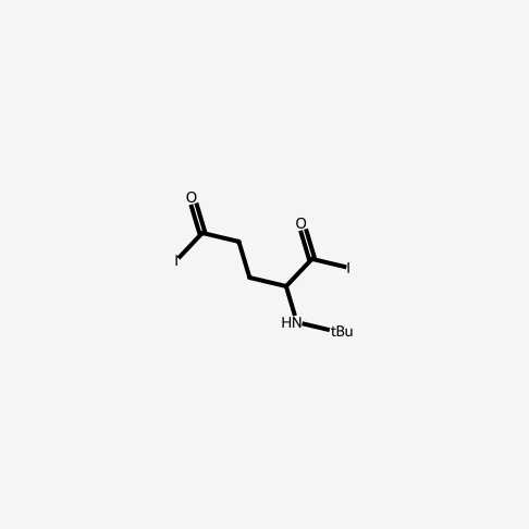 CC(C)(C)NC(CCC(=O)I)C(=O)I